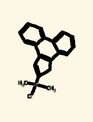 C[Si](C)(Cl)C1=Cc2c(c3ccccc3c3ccccc23)C1